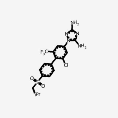 CC(C)CS(=O)(=O)c1ccc(-c2c(Cl)cc(-n3nc(N)nc3N)cc2C(F)(F)F)cc1